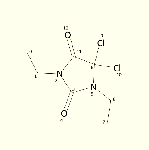 CCN1C(=O)N(CC)C(Cl)(Cl)C1=O